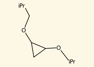 CC(C)COC1CC1OC(C)C